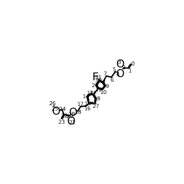 C=CC(=O)OCCCc1ccc(-c2ccc(CCCOC(=O)C(=C)COC)cc2)cc1F